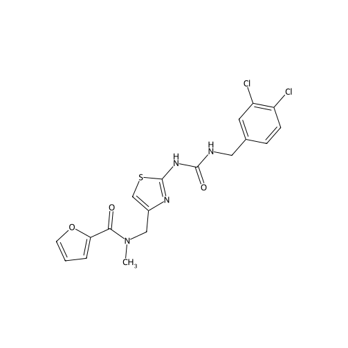 CN(Cc1csc(NC(=O)NCc2ccc(Cl)c(Cl)c2)n1)C(=O)c1ccco1